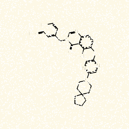 C=C/C=C(\C=C/C)CN1C=Nc2ccc(Sc3cnc(N4CCC5(CCCC5)CC4)cn3)c(Cl)c2C1=C